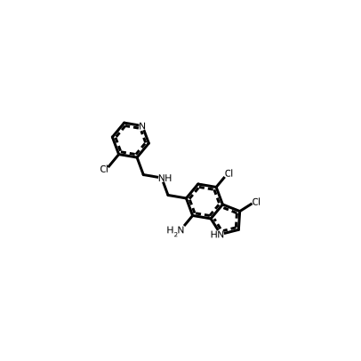 Nc1c(CNCc2cnccc2Cl)cc(Cl)c2c(Cl)c[nH]c12